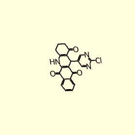 O=C1CCCC2=C1C(c1cnc(Cl)nc1)C1=C(N2)C(=O)c2ccccc2C1=O